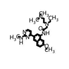 CCN(CCN(C)C)CC(=O)Nc1cc(-c2ccnc(NC)n2)cc2ccc(OC)cc12